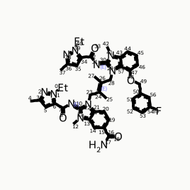 CCn1nc(C)cc1C(=O)/N=c1\n(C)c2cc(C(N)=O)ccc2n1C/C(C)=C(\C)Cn1/c(=N/C(=O)c2cc(C)nn2CC)n(C)c2cccc(OCc3cccc(F)c3)c21